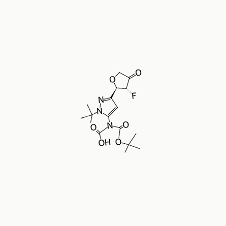 CC(C)(C)OC(=O)N(C(=O)O)c1cc([C@H]2OCC(=O)[C@@H]2F)nn1C(C)(C)C